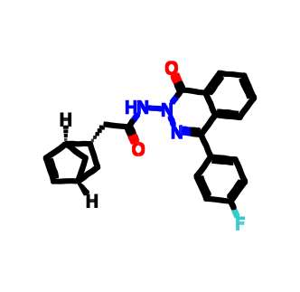 O=C(C[C@@H]1C[C@@H]2C=C[C@@H]1C2)Nn1nc(-c2ccc(F)cc2)c2ccccc2c1=O